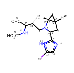 C[C@H](CN1[C@@H]2C[C@@H]2C[C@H]1c1ncc(I)[nH]1)C(C=O)NC(=O)O